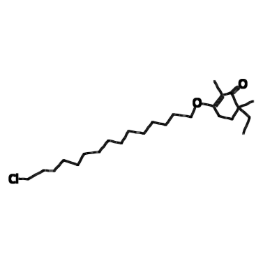 CCC1(C)CCC(OCCCCCCCCCCCCCCCCl)=C(C)C1=O